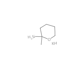 CC1([SiH3])CCCCO1.[KH]